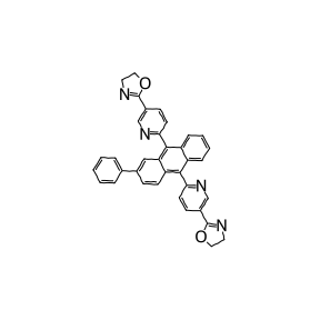 c1ccc(-c2ccc3c(-c4ccc(C5=NCCO5)cn4)c4ccccc4c(-c4ccc(C5=NCCO5)cn4)c3c2)cc1